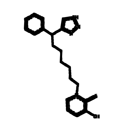 Oc1cccn(CCCCCCC(c2ccccc2)c2c[nH]nn2)c1=S